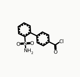 NS(=O)(=O)c1ccccc1-c1ccc(C(=O)Cl)cc1